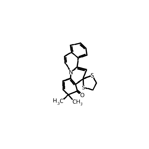 CC1(C)C=CC2=C(C1=O)C1(C=C3c4ccccc4C=CN32)SCCS1